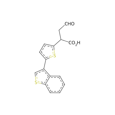 O=CCC(C(=O)O)c1ccc(-c2csc3ccccc23)s1